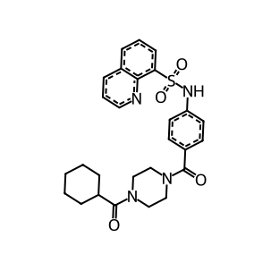 O=C(c1ccc(NS(=O)(=O)c2cccc3cccnc23)cc1)N1CCN(C(=O)C2CCCCC2)CC1